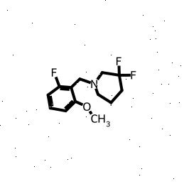 COc1cccc(F)c1CN1C[CH]CC(F)(F)C1